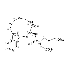 COCCC[C@H](CC(=O)O)C(=O)N[C@H]1Cc2cn(c3ccccc23)CCCCCNC1=O